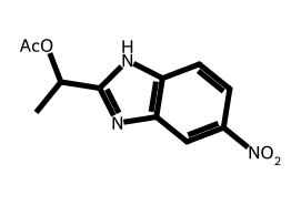 CC(=O)OC(C)c1nc2cc([N+](=O)[O-])ccc2[nH]1